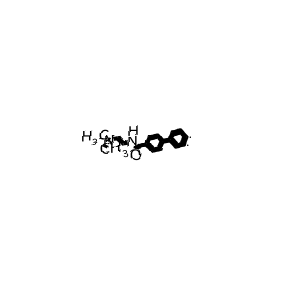 CN(C)CCNC(=O)c1ccc(-c2c[c][c]cc2)cc1